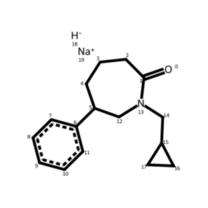 O=C1CCCC(c2ccccc2)CN1CC1CC1.[H-].[Na+]